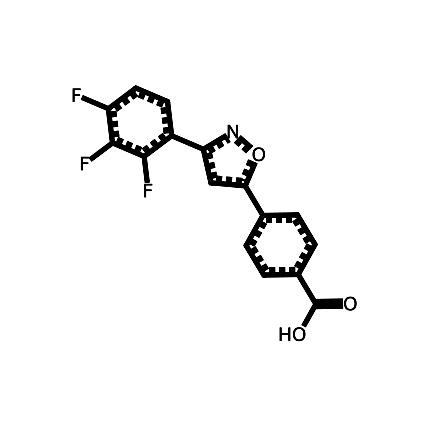 O=C(O)c1ccc(-c2cc(-c3ccc(F)c(F)c3F)no2)cc1